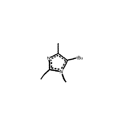 Cc1nc(C)n(C)c1C(C)(C)C